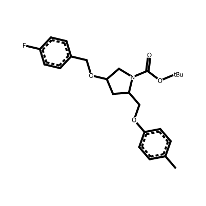 Cc1ccc(OCC2CC(OCc3ccc(F)cc3)CN2C(=O)OC(C)(C)C)cc1